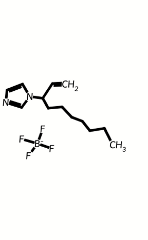 C=CC(CCCCCCC)n1ccnc1.F[B-](F)(F)F